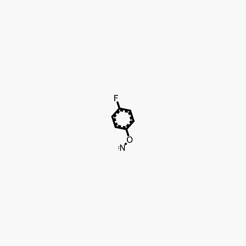 [N]Oc1ccc(F)cc1